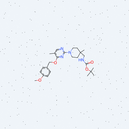 COc1ccc(COc2nc(N3CCC(C)(CNC(=O)OC(C)(C)C)CC3)ncc2C)cc1